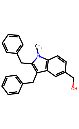 Cn1c(Cc2ccccc2)c(Cc2ccccc2)c2cc(CO)ccc21